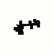 CC(NC(=O)[C@H](C)NC(=O)CCCCC(=O)NCCN1C(=O)C=CC1=O)C(=O)O